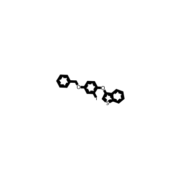 Ic1cc(OCc2ccccc2)ccc1Oc1csc2ccccc12